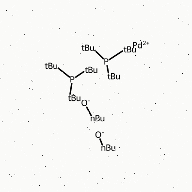 CC(C)(C)P(C(C)(C)C)C(C)(C)C.CC(C)(C)P(C(C)(C)C)C(C)(C)C.CCCC[O-].CCCC[O-].[Pd+2]